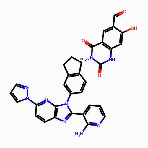 Nc1ncccc1-c1nc2ccc(-n3cccn3)nc2n1-c1ccc2c(c1)CC[C@@H]2n1c(=O)[nH]c2cc(O)c(C=O)cc2c1=O